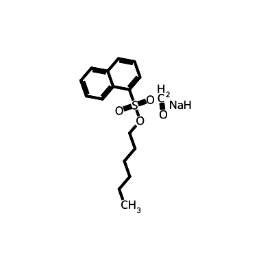 C=O.CCCCCCOS(=O)(=O)c1cccc2ccccc12.[NaH]